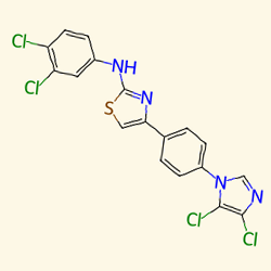 Clc1ccc(Nc2nc(-c3ccc(-n4cnc(Cl)c4Cl)cc3)cs2)cc1Cl